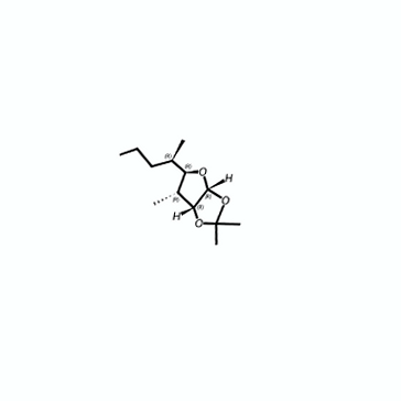 CCC[C@@H](C)[C@H]1O[C@@H]2OC(C)(C)O[C@@H]2[C@@H]1C